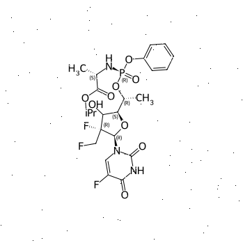 CC(C)OC(=O)[C@H](C)N[P@](=O)(Oc1ccccc1)O[C@H](C)[C@H]1O[C@@H](n2cc(F)c(=O)[nH]c2=O)[C@@](F)(CF)C1O